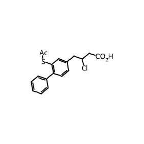 CC(=O)Sc1cc(CC(Cl)CC(=O)O)ccc1-c1ccccc1